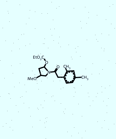 CCOC(=O)OC1CC(OC)CN1C(=O)Cc1ccc(C)cc1C